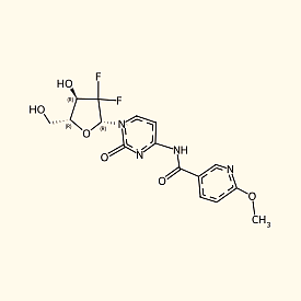 COc1ccc(C(=O)Nc2ccn([C@@H]3O[C@H](CO)[C@@H](O)C3(F)F)c(=O)n2)cn1